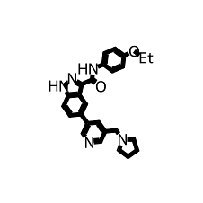 CCOc1ccc(NC(=O)c2n[nH]c3ccc(-c4cncc(CN5CCCC5)c4)cc23)cc1